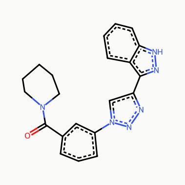 O=C(c1cccc(-n2cc(-c3n[nH]c4ccccc34)nn2)c1)N1CCCCC1